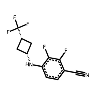 N#Cc1ccc(N[C@H]2C[C@@H](C(F)(F)F)C2)c(F)c1F